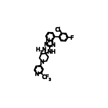 NC1(Nc2nc3c(-c4ccc(F)cc4Cl)cccn3n2)CCN(c2ccnc(C(F)(F)F)c2)CC1